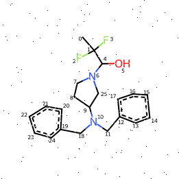 CC(F)(F)C(O)N1CCC(N(Cc2ccccc2)Cc2ccccc2)C1